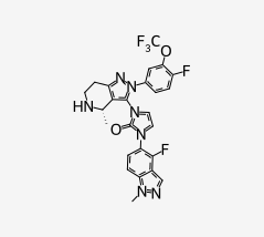 C[C@@H]1NCCc2nn(-c3ccc(F)c(OC(F)(F)F)c3)c(-n3ccn(-c4ccc5c(cnn5C)c4F)c3=O)c21